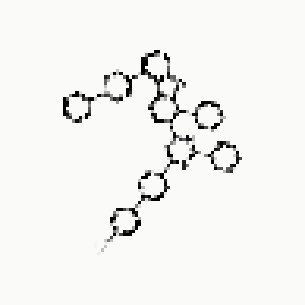 Cc1ccc(-c2ccc(-c3nc(-c4ccccc4)nc(-c4ccc5c(oc6cccc(-c7ccc(-c8ccccc8)cc7)c65)c4-c4ccccc4)n3)cc2)cc1